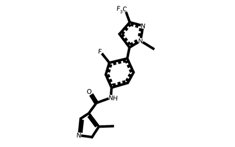 CC1=C(C(=O)Nc2ccc(-c3cc(C(F)(F)F)nn3C)c(F)c2)C=NC1